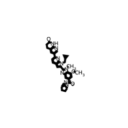 COc1cc(C(=O)N2CC3CCC2C3N)cc2nc(-c3cc4ccc(-c5cnc6c(c5)CCC(=O)N6)nc4n3CC3CC3)n(C)c12